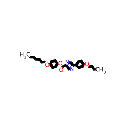 CCCCCCCOc1ccc(OC(=O)c2cnc(-c3ccc(OCCCC)cc3)cn2)cc1